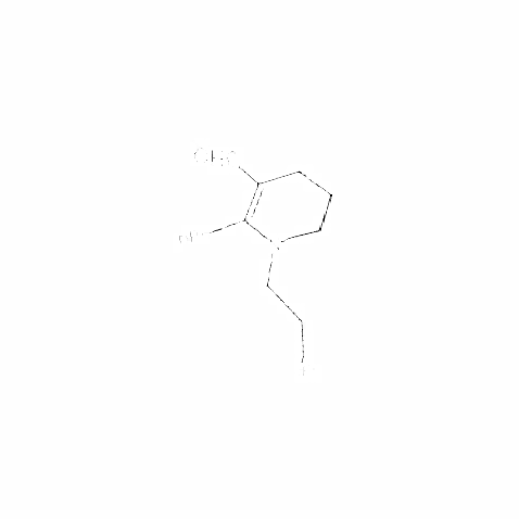 CCCC1=C(C=O)CCCN1CCC(C)C